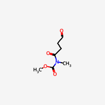 COC(=O)N(C)C(=O)CCC=O